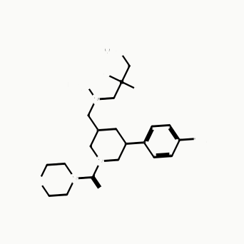 COCC(C)(C)CN(CC1CC(c2ccc(C(F)(F)F)cc2)CN(C(=O)N2CCOCC2)C1)C(=O)O